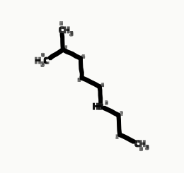 CCCBCCCC(C)C